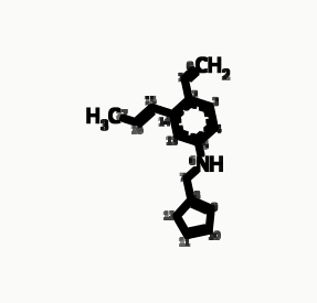 C=Cc1ccc(NCC2=CC=CC2)cc1/C=C/C